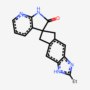 CCc1nc2cc3c(cc2[nH]1)CC1(C3)C(=O)Nc2ncccc21